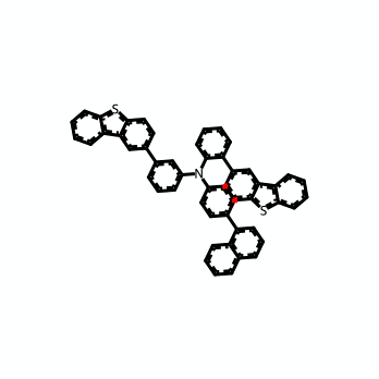 c1cc(-c2ccc3sc4ccccc4c3c2)cc(N(c2ccc(-c3cccc4ccccc34)cc2)c2ccccc2-c2ccc3sc4ccccc4c3c2)c1